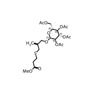 C=C(CO[C@H]1O[C@H](COC(C)=O)[C@@H](OC(C)=O)[C@H](OC(C)=O)[C@H]1OC(C)=O)CSCCC(=O)OC